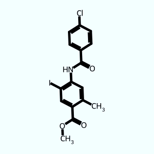 COC(=O)c1cc(I)c(NC(=O)c2ccc(Cl)cc2)cc1C